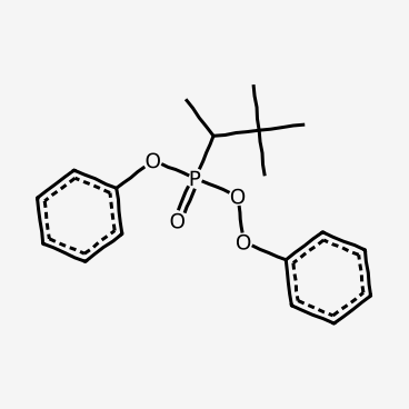 CC(C(C)(C)C)P(=O)(OOc1ccccc1)Oc1ccccc1